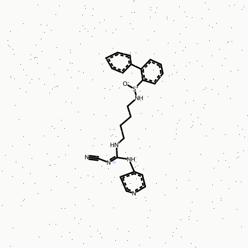 N#C/N=C(\NCCCCN[S+]([O-])c1ccccc1-c1ccccc1)Nc1ccncc1